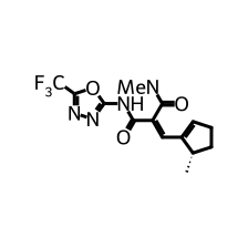 CNC(=O)/C(=C\C1=CCC[C@@H]1C)C(=O)Nc1nnc(C(F)(F)F)o1